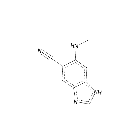 CNc1cc2[nH]cnc2cc1C#N